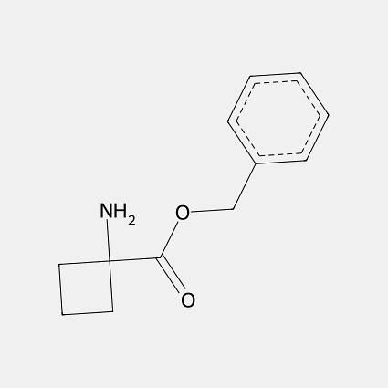 NC1(C(=O)OCc2ccccc2)CCC1